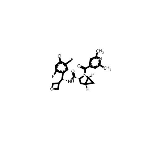 Cc1cc(C(=O)N2[C@@H](C(=O)N[C@@H](c3cc(F)c(Cl)cc3F)C3COC3)C[C@H]3C[C@H]32)cc(C)n1